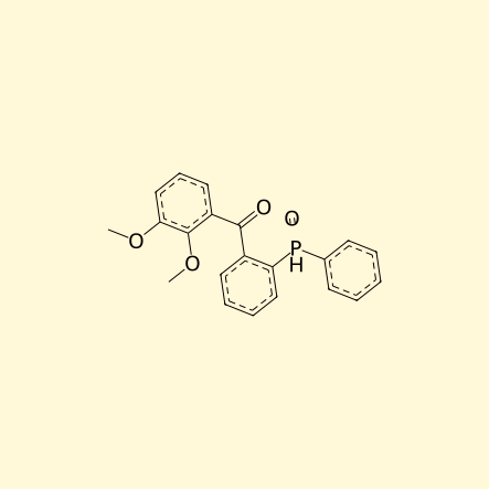 COc1cccc(C(=O)c2ccccc2[PH](=O)c2ccccc2)c1OC